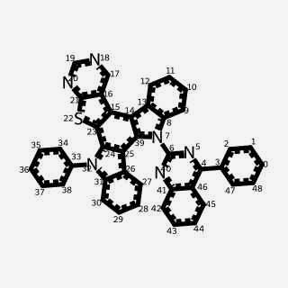 c1ccc(-c2nc(-n3c4ccccc4c4c5c6cncnc6sc5c5c(c6ccccc6n5-c5ccccc5)c43)nc3ccccc23)cc1